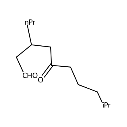 CCCC(CC=O)CC(=O)CCCC(C)C